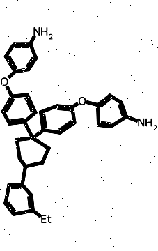 CCc1cccc(C2CCC(c3ccc(Oc4ccc(N)cc4)cc3)(c3ccc(Oc4ccc(N)cc4)cc3)CC2)c1